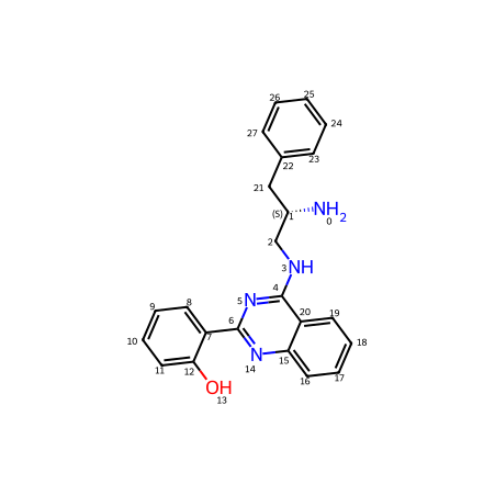 N[C@H](CNc1nc(-c2ccccc2O)nc2ccccc12)Cc1ccccc1